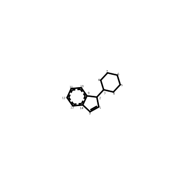 C1=CC(C2CCCCC2)c2ccccc21